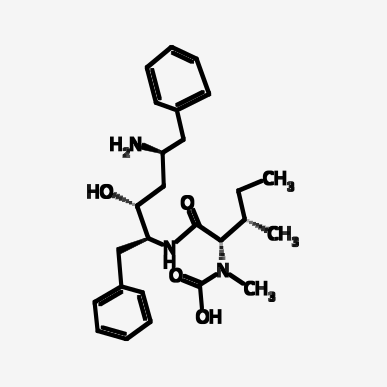 CC[C@H](C)[C@@H](C(=O)N[C@@H](Cc1ccccc1)[C@H](O)C[C@@H](N)Cc1ccccc1)N(C)C(=O)O